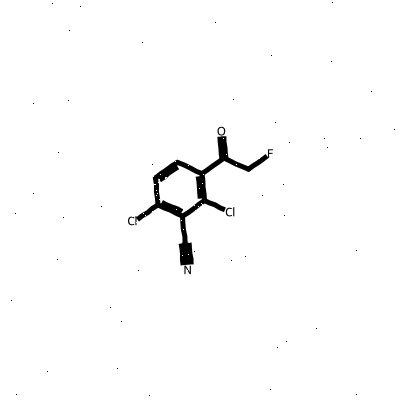 N#Cc1c(Cl)ccc(C(=O)CF)c1Cl